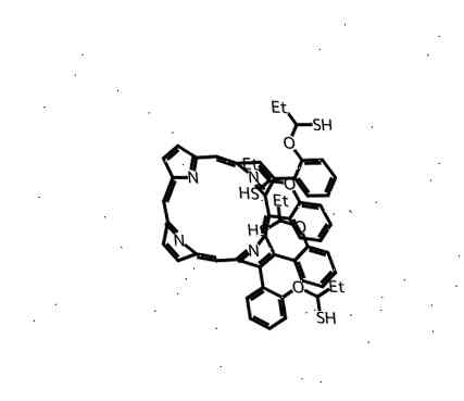 CCC(S)Oc1ccccc1C1=CC2=CC3=NC(=CC4=NC(=CC5=NC(=C(c6ccccc6OC(S)CC)C1=N2)C(c1ccccc1OC(S)CC)=C5c1ccccc1OC(S)CC)C=C4)C=C3